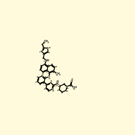 CCc1nc(CNc2cccc3c(Oc4ncccc4-c4ccnc(N[C@H]5CCCN(C(=O)O)C5)n4)c(C)ccc23)cs1